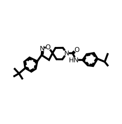 CC(C)c1ccc(NC(=O)N2CCC3(CC2)CC(c2ccc(C(C)(C)C)cc2)=NO3)cc1